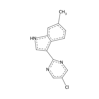 Cc1ccc2c(-c3ncc(Cl)cn3)c[nH]c2c1